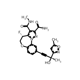 CNC(=O)c1c(C(N)=O)nn2c1[C@@H](F)COc1ccc(C#C[C@@](C)(O)c3cc(C)on3)cc1-2